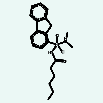 CCCCCC(=O)[NH][Hf]([Cl])([Cl])([c]1cccc2c1Cc1ccccc1-2)[SiH](C)C